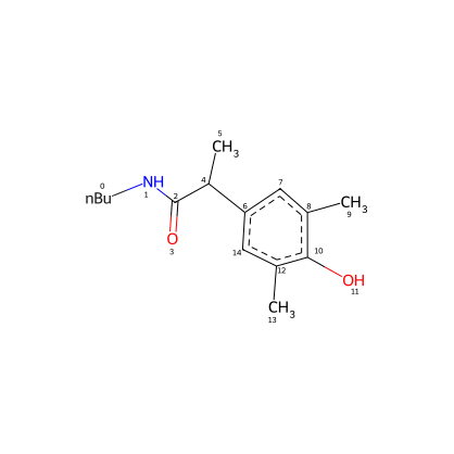 CCCCNC(=O)C(C)c1cc(C)c(O)c(C)c1